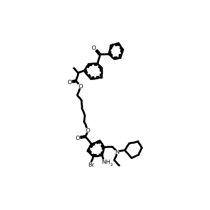 CCN(Cc1cc(C(=O)OCCCCCOC(=O)C(C)c2cccc(C(=O)c3ccccc3)c2)cc(Br)c1N)C1CCCCC1